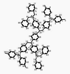 Cc1ccc(N(c2ccc(C)cc2)c2ccc(CC(c3ccc(C(Cc4ccc(N(c5ccc(C)cc5)c5ccc(C)cc5)cc4)c4ccc(N(Cc5ccccc5)Cc5ccccc5)cc4)cc3)c3ccc(N(Cc4ccccc4)Cc4ccccc4)cc3)cc2)cc1